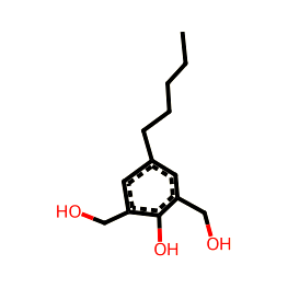 CCCCCc1cc(CO)c(O)c(CO)c1